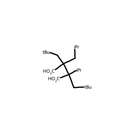 CC(C)CC(CC(C)(C)C)(C(=O)O)C(CC(C)(C)C)(C(=O)O)C(C)C